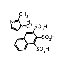 Cc1nccn1C.O=S(=O)(O)c1cc2ccccc2c(S(=O)(=O)O)c1S(=O)(=O)O